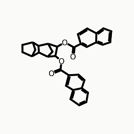 O=C(OC1C2CC(C1OC(=O)c1ccc3ccccc3c1)C1C3CCC(C3)C21)c1ccc2ccccc2c1